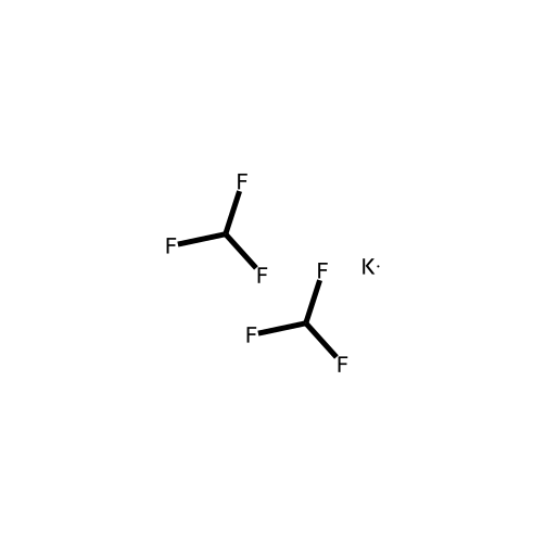 FC(F)F.FC(F)F.[K]